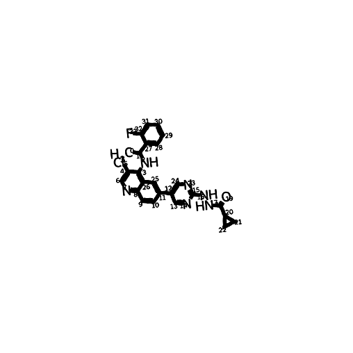 CC(Nc1c(Cl)cnc2ccc(-c3cnc(NNC(=O)C4CC4)nc3)cc12)c1ccccc1F